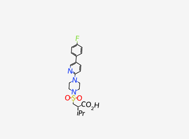 CC(C)[C@@H](CS(=O)(=O)N1CCN(c2ccc(-c3ccc(F)cc3)cn2)CC1)C(=O)O